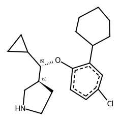 Clc1ccc(O[C@@H](C2CC2)[C@H]2CCNC2)c(C2CCCCC2)c1